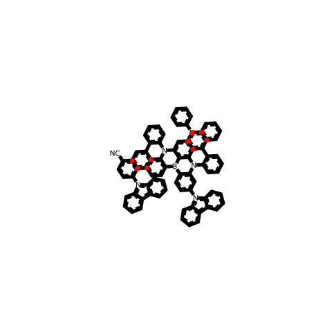 N#Cc1ccc(-n2c3ccccc3c3ccccc32)c(-c2ccc3c(c2)N(c2ccccc2-c2ccccc2)c2cc(N(c4ccccc4)c4ccccc4)cc4c2B3c2ccc(-n3c5ccccc5c5ccccc53)cc2N4c2ccccc2-c2ccccc2)c1